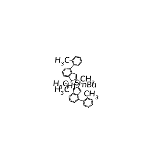 CCCC[Si]1(C)C2=Cc3c(-c4ccccc4C)cccc3[CH]2[Hf]([CH3])([CH3])[CH]2C1=Cc1c(-c3ccccc3C)cccc12